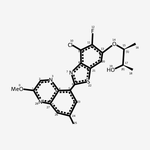 COc1cnc2c(-c3nc4c(Cl)c(F)c(O[C@@H](C)[C@@H](C)O)cc4s3)cc(C)cc2n1